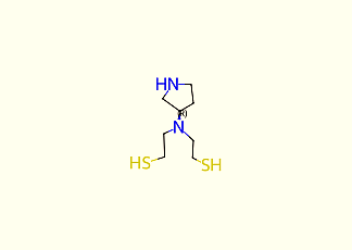 SCCN(CCS)[C@@H]1CCNC1